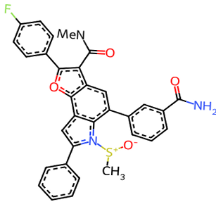 CNC(=O)c1c(-c2ccc(F)cc2)oc2c1cc(-c1cccc(C(N)=O)c1)c1c2cc(-c2ccccc2)n1[S+](C)[O-]